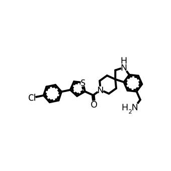 NCc1ccc2c(c1)C1(CCN(C(=O)c3cc(-c4ccc(Cl)cc4)cs3)CC1)CN2